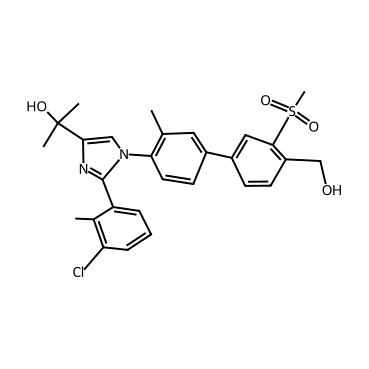 Cc1cc(-c2ccc(CO)c(S(C)(=O)=O)c2)ccc1-n1cc(C(C)(C)O)nc1-c1cccc(Cl)c1C